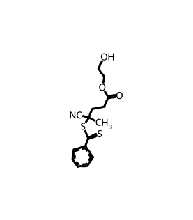 CC(C#N)(CCC(=O)OCCO)SC(=S)c1ccccc1